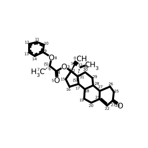 C#C[C@]1(OC(=O)[C@H](C)Oc2ccccc2)CCC2C3CCC4=CC(=O)CCC4C3CC[C@@]21CC